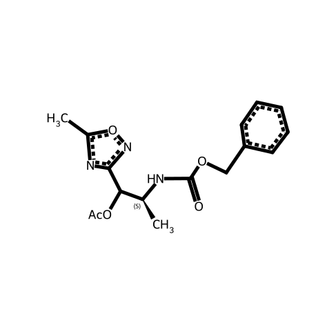 CC(=O)OC(c1noc(C)n1)[C@H](C)NC(=O)OCc1ccccc1